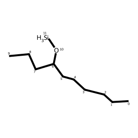 CCCCCCC(CCC)O[SiH3]